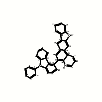 c1ccc(-n2c3ccccc3c3c(-c4cc5cc6c(cc5c5cccnc45)oc4ccccc46)cccc32)cc1